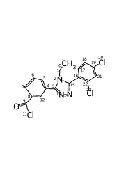 CCn1c(-c2cccc(C(=O)Cl)c2)nnc1-c1ccc(Cl)cc1Cl